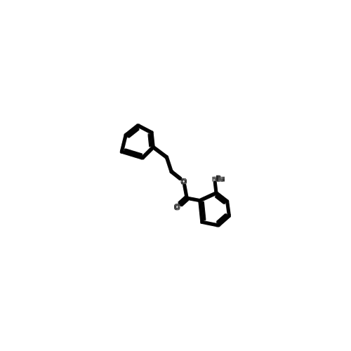 CCCCc1ccccc1C(=O)OCCc1ccccc1